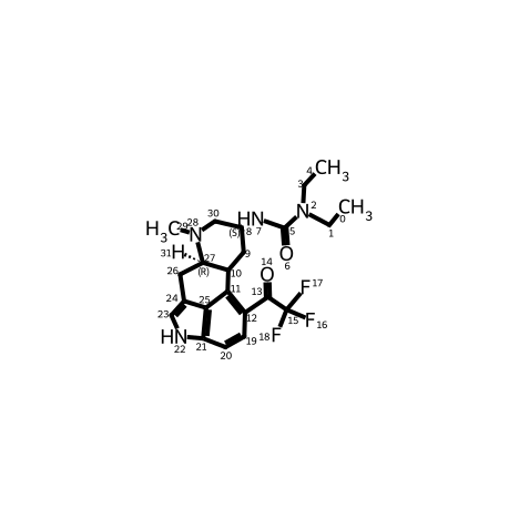 CCN(CC)C(=O)N[C@H]1CC2c3c(C(=O)C(F)(F)F)ccc4[nH]cc(c34)C[C@H]2N(C)C1